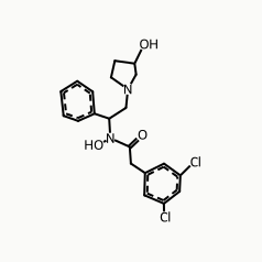 O=C(Cc1cc(Cl)cc(Cl)c1)N(O)C(CN1CCC(O)C1)c1ccccc1